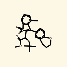 COC(=O)C(OC(C)(C)C)C1=C(c2ccc3c(c2)CCCO3)c2c(C)cccc2S1(=O)=O